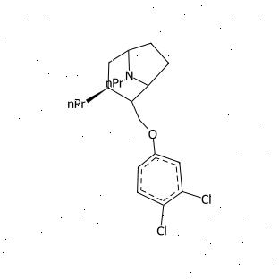 CCC[C@H]1CC2CCC(C1COc1ccc(Cl)c(Cl)c1)N2CCC